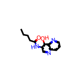 CCCCC(=O)Nc1cnc2cccnc2c1O